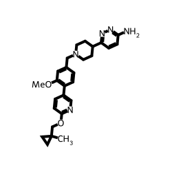 COc1cc(CN2CCC(c3ccc(N)nn3)CC2)ccc1-c1ccc(OCC2(C)CC2)nc1